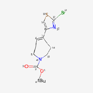 CC(C)(C)OC(=O)N1CC=C(c2csc(Br)n2)CC1